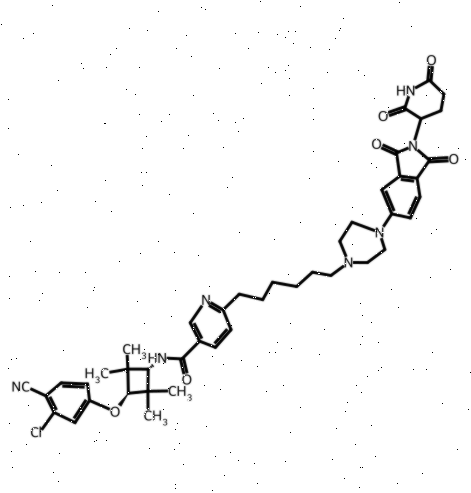 CC1(C)[C@H](NC(=O)c2ccc(CCCCCCN3CCN(c4ccc5c(c4)C(=O)N(C4CCC(=O)NC4=O)C5=O)CC3)nc2)C(C)(C)[C@H]1Oc1ccc(C#N)c(Cl)c1